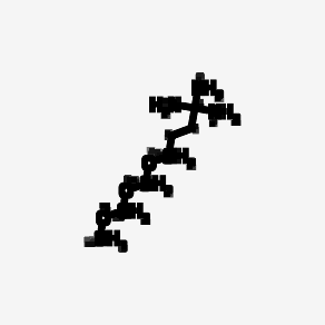 NC(N)(N)CC[SiH2]O[SiH2]O[SiH2]O[SiH3]